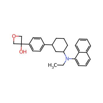 CCN(c1cccc2ccccc12)C1CCCC(c2ccc(C3(O)COC3)cc2)C1